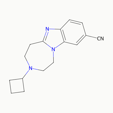 N#Cc1ccc2nc3n(c2c1)CCN(C1CCC1)CC3